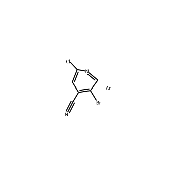 N#Cc1cc(Cl)ncc1Br.[Ar]